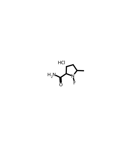 CC1CCC(C(N)=O)N1F.Cl